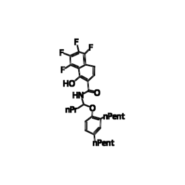 CCCCCc1ccc(OC(CCC)NC(=O)c2ccc3c(F)c(F)c(F)c(F)c3c2O)c(CCCCC)c1